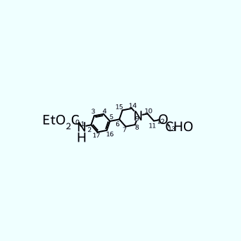 CCOC(=O)Nc1ccc(C2CCN(CCOC=O)CC2)cc1